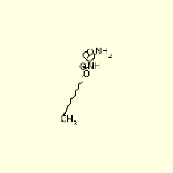 CCCCCCCCCCCCOC(=O)N[C@@H]([C]=O)CC(N)=O